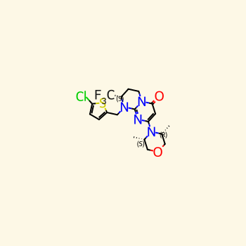 C[C@@H]1COC[C@H](C)N1c1cc(=O)n2c(n1)N(Cc1ccc(Cl)s1)[C@H](C(F)(F)F)CC2